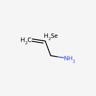 C=CCN.[SeH2]